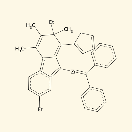 CCc1ccc2c(c1)=[C]([Zr]=[C](c1ccccc1)c1ccccc1)C1=C(C3=CC=CC3)C(C)(CC)C(C)=C(C)C=21